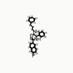 O=C(NC(C(=O)NCCCc1ccccc1)c1ccccc1)c1ccc2cc(F)ccc2c1